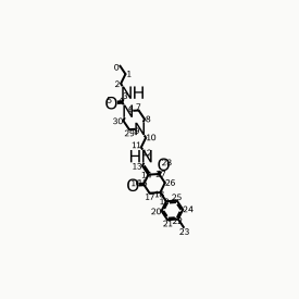 CCCNC(=O)N1CCN(CCNC=C2C(=O)CC(c3ccc(C)cc3)CC2=O)CC1